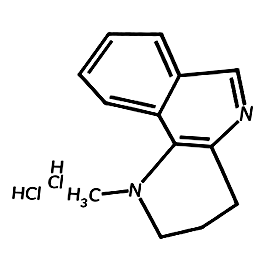 CN1CCCc2ncc3ccccc3c21.Cl.Cl